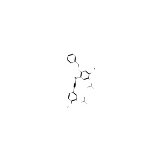 COc1ccc(C#CC(=O)c2cc(OC(C)C)c(OC)cc2SCc2ccccc2)cc1OC(C)C